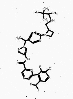 CC(c1cnc(N2CCC2CNC(C)C(C)(C)O)nc1)n1cc(NC(=O)c2cncc(-c3c(C(F)F)ccc(Cl)c3F)n2)cn1